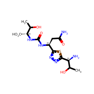 CC(O)[C@H](NC(=O)N[C@@H](CC(N)=O)c1nnc([C@@H](N)C(C)O)s1)C(=O)O